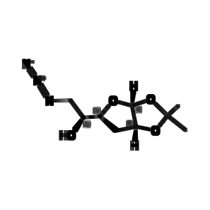 CC1(C)O[C@H]2O[C@H]([C@@H](O)CN=[N+]=[N-])C[C@H]2O1